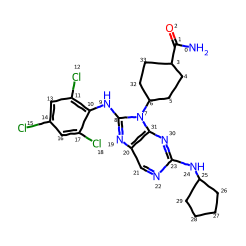 NC(=O)C1CCC(n2c(Nc3c(Cl)cc(Cl)cc3Cl)nc3cnc(NC4CCCC4)nc32)CC1